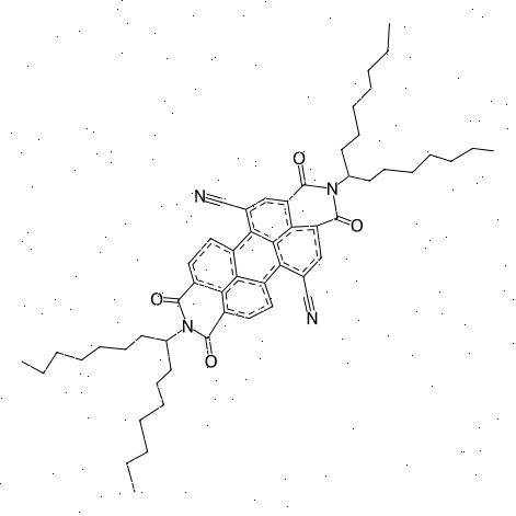 CCCCCCCC(CCCCCCC)N1C(=O)c2ccc3c4c(C#N)cc5c6c(cc(C#N)c(c7ccc(c2c37)C1=O)c64)C(=O)N(C(CCCCCCC)CCCCCCC)C5=O